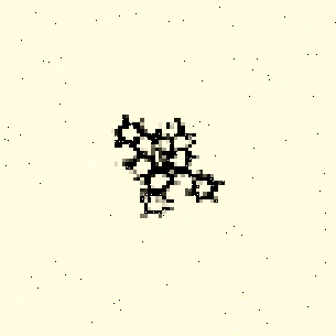 CC(=O)NC1(N2C(=O)c3ccccc3C(C(=O)O)C2c2ccc3c(c2)OCCO3)C=CC(c2ccccc2)=CC1